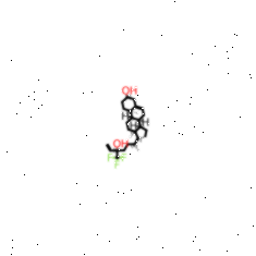 C=C[C@@](O)(CC[C@@H](C)[C@H]1CC[C@H]2[C@@H]3CC=C4C[C@@H](O)CC[C@]4(C)[C@H]3CC[C@]12C)C(F)(F)F